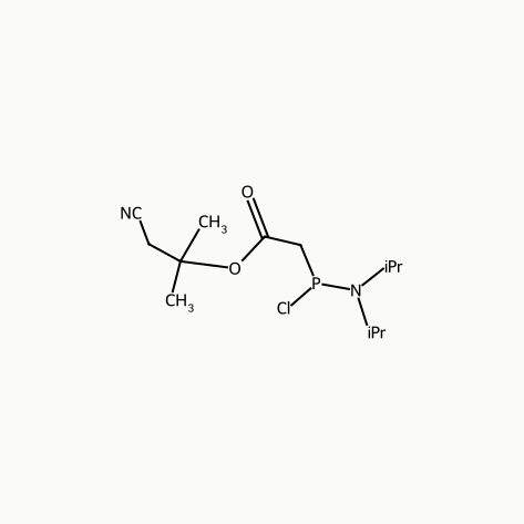 CC(C)N(C(C)C)P(Cl)CC(=O)OC(C)(C)CC#N